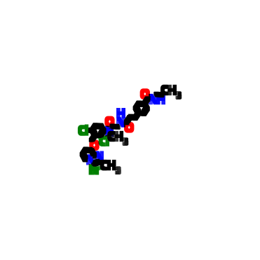 CCCNC(=O)c1ccc(/C=C/C(=O)NCC(=O)N(C)c2ccc(Cl)c(COc3cccn4c(Br)c(C)nc34)c2Cl)cc1